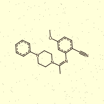 COc1ccc(C#N)c(N=C(C)N2CCN(c3ccccc3)CC2)c1